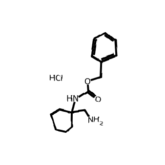 Cl.NCC1(NC(=O)OCc2ccccc2)CCCCC1